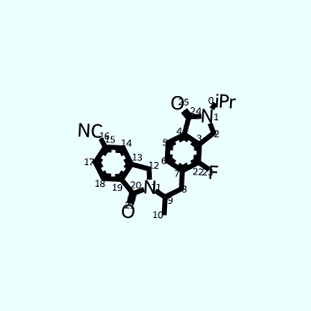 CC(C)N1Cc2c(ccc(CC(C)N3Cc4cc(C#N)ccc4C3=O)c2F)C1=O